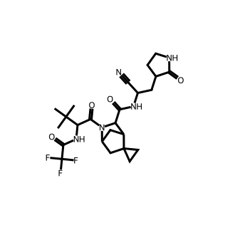 CC(C)(C)C(NC(=O)C(F)(F)F)C(=O)N1C2CC(C1C(=O)NC(C#N)CC1CCNC1=O)C1(CC1)C2